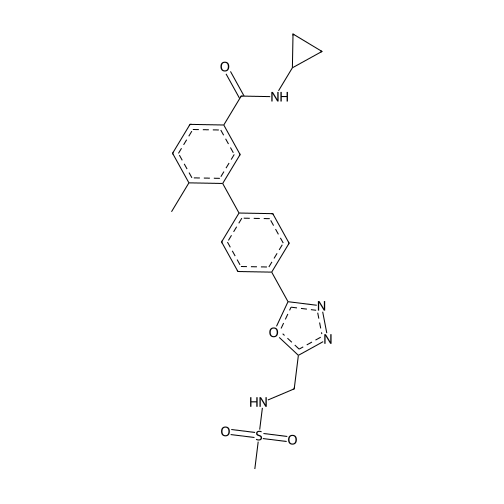 Cc1ccc(C(=O)NC2CC2)cc1-c1ccc(-c2nnc(CNS(C)(=O)=O)o2)cc1